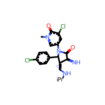 CC(C)N/C=C1\C(=N)C(=O)N(c2cc(Cl)c(=O)n(C)c2)C1c1ccc(Cl)cc1